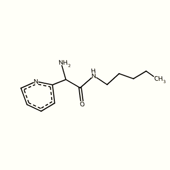 CCCCCNC(=O)C(N)c1ccccn1